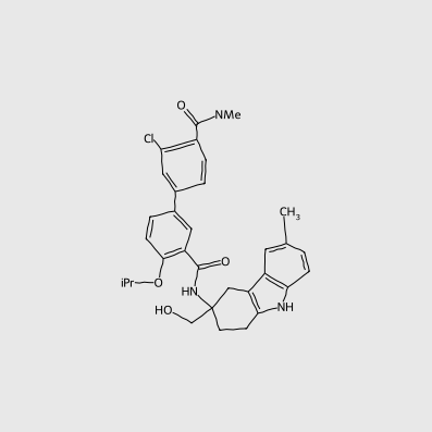 CNC(=O)c1ccc(-c2ccc(OC(C)C)c(C(=O)NC3(CO)CCc4[nH]c5ccc(C)cc5c4C3)c2)cc1Cl